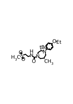 CCOc1ccc(N2C[C@H](C)CN(C(=O)NCCS(C)(=O)=O)C[C@@H]2C(C)(C)C)cc1